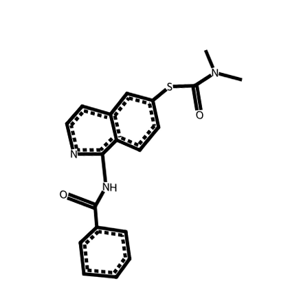 CN(C)C(=O)Sc1ccc2c(NC(=O)c3ccccc3)nccc2c1